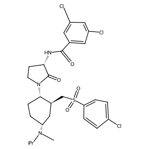 CC(C)N(C)[C@@H]1CC[C@H](N2CC[C@H](NC(=O)c3cc(Cl)cc(Cl)c3)C2=O)[C@@H](CS(=O)(=O)c2ccc(Cl)cc2)C1